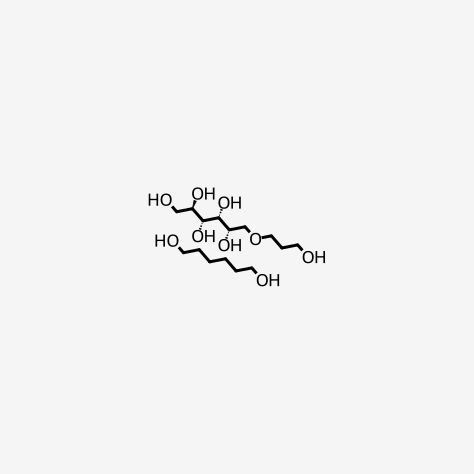 OCCCCCCO.OCCCOC[C@H](O)[C@@H](O)[C@H](O)[C@H](O)CO